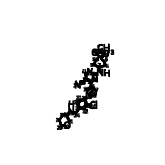 CS(=O)(=O)N1CCC(Nc2ncc(C#N)c(-c3cnn(-c4ccc(CN[C@@H]5CCCOC5)cc4Cl)c3)n2)CC1